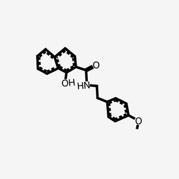 COc1ccc(CCNC(=O)c2ccc3ccccc3c2O)cc1